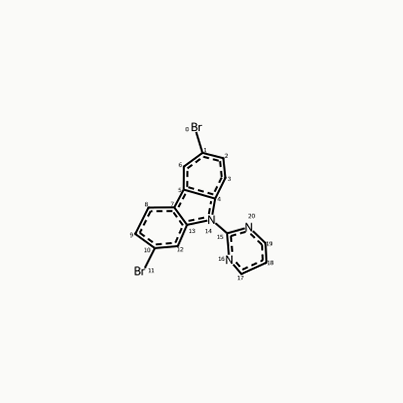 Brc1ccc2c(c1)c1ccc(Br)cc1n2-c1ncccn1